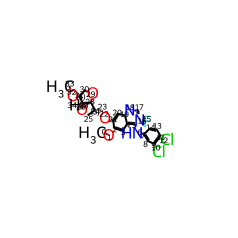 COc1cc2c(Nc3cc(Cl)c(Cl)cc3F)ncnc2cc1OC[C@@H]1CO[C@H]2C1OC[C@@H]2OC